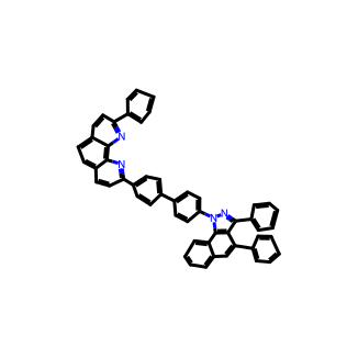 c1ccc(-c2ccc3ccc4ccc(-c5ccc(-c6ccc(-n7nc(-c8ccccc8)c8c(-c9ccccc9)cc9ccccc9c87)cc6)cc5)nc4c3n2)cc1